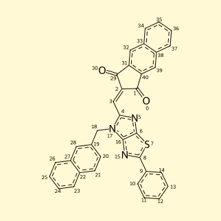 O=C1C(=Cc2nc3sc(-c4ccccc4)nc3n2Cc2ccc3ccccc3c2)C(=O)c2cc3ccccc3cc21